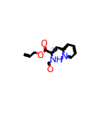 C=CCOC(=O)/C(=C/c1ccccn1)NC=O